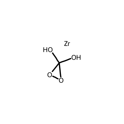 OC1(O)OO1.[Zr]